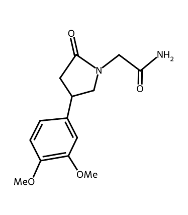 COc1ccc(C2CC(=O)N(CC(N)=O)C2)cc1OC